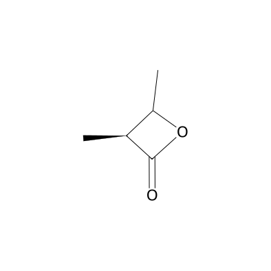 CC1OC(=O)[C@H]1C